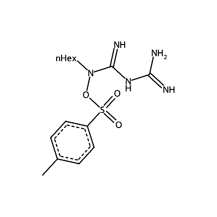 CCCCCCN(OS(=O)(=O)c1ccc(C)cc1)C(=N)NC(=N)N